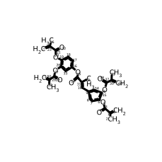 C=C(C)C(=O)Oc1ccc(/C=C(\C)C(=O)Oc2ccc(OC(=O)C(=C)C)c(OC(=O)C(=C)C)c2)cc1OC(=O)C(=C)C